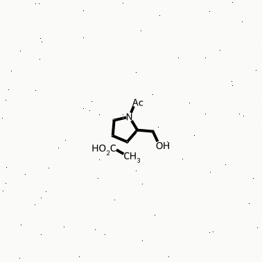 CC(=O)N1CCCC1CO.CC(=O)O